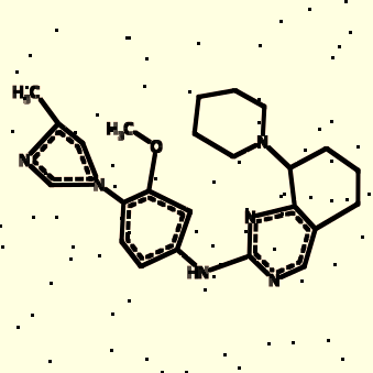 COc1cc(Nc2ncc3c(n2)C(N2CCCCC2)CCC3)ccc1-n1cnc(C)c1